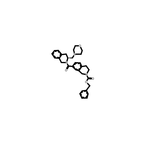 O=C(OCc1ccccc1)N1CCc2ccc(C(=O)N3Cc4ccccc4C[C@H]3CN3CCOCC3)cc2C1